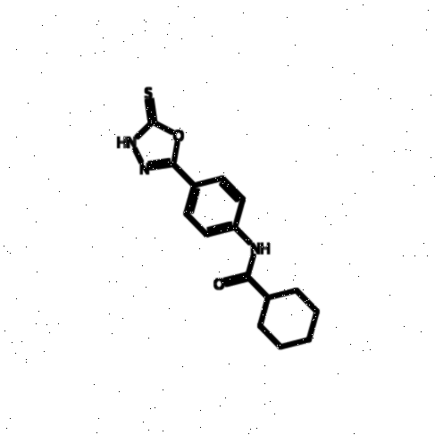 O=C(Nc1ccc(-c2n[nH]c(=S)o2)cc1)C1CCCCC1